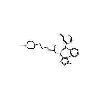 C=C/C=C(\C=C/C)C1=N[C@@H](CC(=O)NCCCN2CCN(C)CC2)c2nnc(C)n2-c2ccccc21